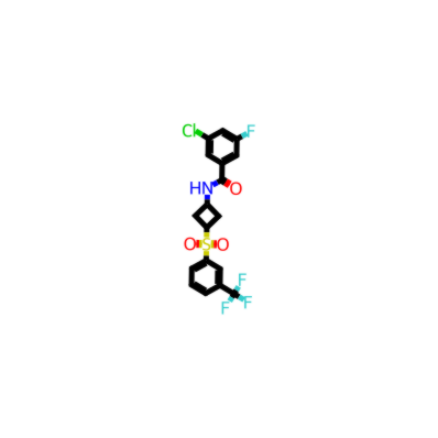 O=C(NC1CC(S(=O)(=O)c2cccc(C(F)(F)F)c2)C1)c1cc(F)cc(Cl)c1